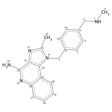 CNCc1ccc(Cn2c(C)nc3c(N)nc4ccccc4c32)cc1